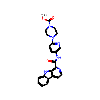 CC(C)(C)OC(=O)N1CCN(c2ccc(NC(=O)c3nccc4c3[nH]c3ccccc34)cn2)CC1